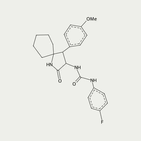 COc1ccc(C2C(NC(=O)Nc3ccc(F)cc3)C(=O)NC23CCCCC3)cc1